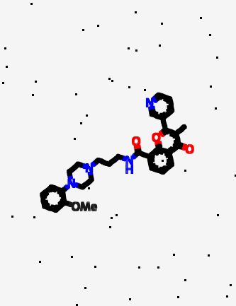 COc1ccccc1N1CCN(CCCNC(=O)c2cccc3c(=O)c(C)c(-c4cccnc4)oc23)CC1